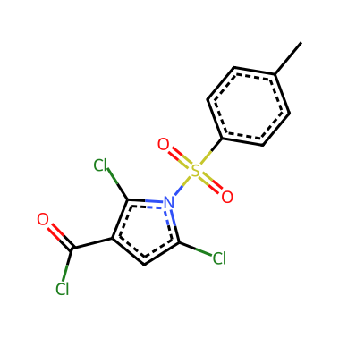 Cc1ccc(S(=O)(=O)n2c(Cl)cc(C(=O)Cl)c2Cl)cc1